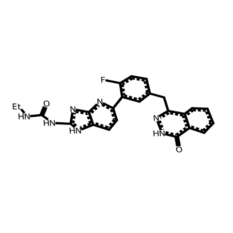 CCNC(=O)Nc1nc2nc(-c3cc(Cc4n[nH]c(=O)c5ccccc45)ccc3F)ccc2[nH]1